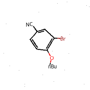 CCCCOc1ccc(C#N)cc1Br